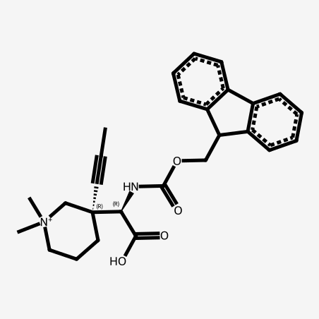 CC#C[C@]1([C@@H](NC(=O)OCC2c3ccccc3-c3ccccc32)C(=O)O)CCC[N+](C)(C)C1